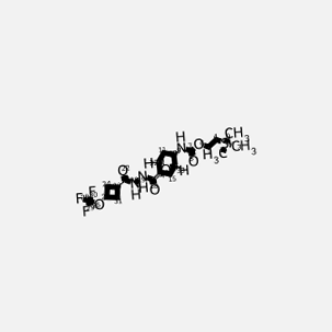 C[Si](C)(C)CCOC(=O)N[C@H]1C[C@H]2O[C@@H]1C[C@@H]2C(=O)NNC(=O)[C@H]1C[C@@H](OC(F)(F)F)C1